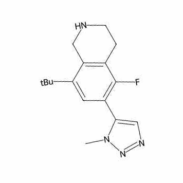 Cn1nncc1-c1cc(C(C)(C)C)c2c(c1F)CCNC2